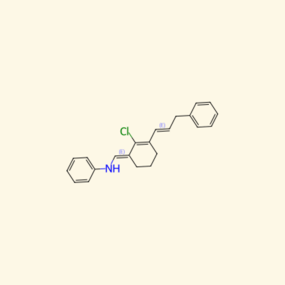 ClC1=C(/C=C/Cc2ccccc2)CCC/C1=C\Nc1ccccc1